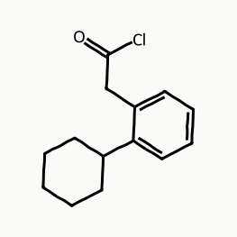 O=C(Cl)Cc1ccccc1C1CCCCC1